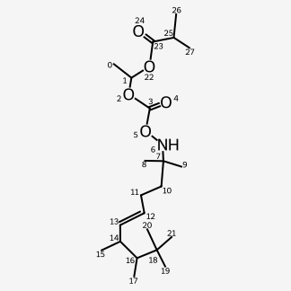 CC(OC(=O)ONC(C)(C)CC/C=C/C(C)C(C)C(C)(C)C)OC(=O)C(C)C